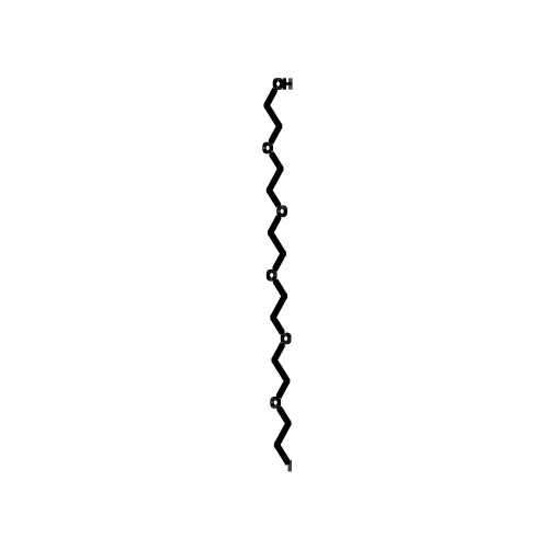 OCCOCCOCCOCCOCCOCCI